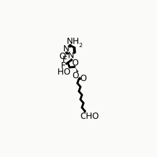 Nc1ccn([C@@H]2O[C@H](COC(=O)CCCCCCCCC=O)[C@@H](O)C2(F)F)c(=O)n1